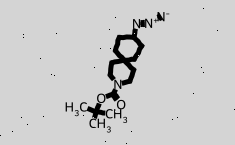 CC(C)(C)OC(=O)N1CCC2(CCC(N=[N+]=[N-])CC2)CC1